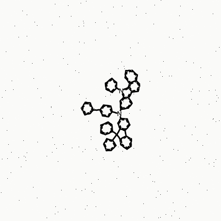 c1ccc(-c2ccc(N(c3ccc4c(c3)C(c3ccccc3)(c3ccccc3)c3ccccc3-4)c3ccc4c5ccc6ccccc6c5n(-c5ccccc5)c4c3)cc2)cc1